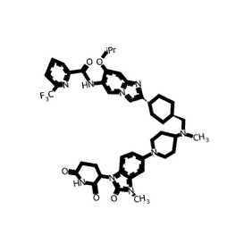 CC(C)Oc1cc2nc([C@H]3CC[C@H](CN(C)C4CCN(c5ccc6c(c5)n(C)c(=O)n6C5CCC(=O)NC5=O)CC4)CC3)cn2cc1NC(=O)c1cccc(C(F)(F)F)n1